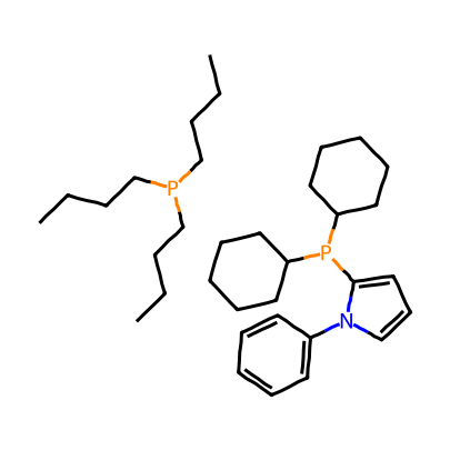 CCCCP(CCCC)CCCC.c1ccc(-n2cccc2P(C2CCCCC2)C2CCCCC2)cc1